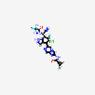 N#CC(NC(=O)C(F)(F)F)c1c(F)c(Cl)c(-c2cn3cc(NC(=O)C4CC4F)nc3cn2)c2cn[nH]c12